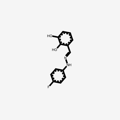 Oc1cccc(/C=N/Nc2ccc(F)cc2)c1O